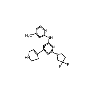 Cc1ccnc(Nc2cc(C3=CCNCC3)cc(N3CCC(F)(F)C3)n2)c1